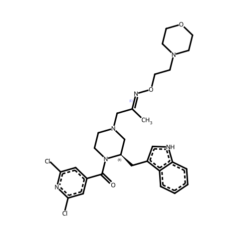 C/C(CN1CCN(C(=O)c2cc(Cl)nc(Cl)c2)[C@H](Cc2c[nH]c3ccccc23)C1)=N\OCCN1CCOCC1